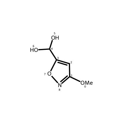 COc1cc(C(O)O)on1